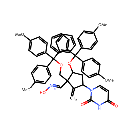 C=C1C(n2ccc(=O)[nH]c2=O)CC(OC(c2ccccc2)(c2ccc(OC)cc2)c2ccc(OC)cc2)C1(/C=N/O)COC(c1ccccc1)(c1ccc(OC)cc1)c1ccc(OC)cc1